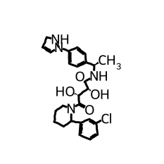 C[C@@H](NC(=O)[C@H](O)[C@@H](O)C(=O)N1CCCCC1c1cccc(Cl)c1)c1ccc(N2C=CCN2)cc1